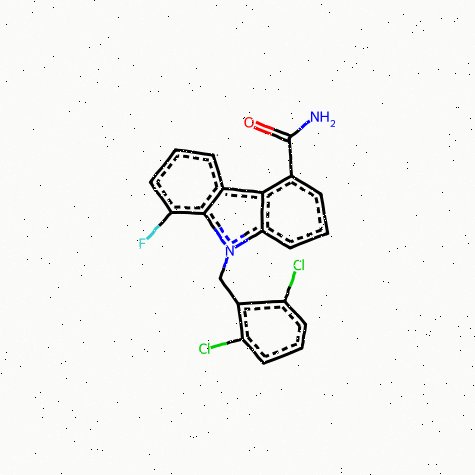 NC(=O)c1cccc2c1c1[c]ccc(F)c1n2Cc1c(Cl)cccc1Cl